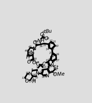 CCn1c(-c2cc(N3CCN4CCOC[C@@H]4C3)cnc2[C@H](C)OC)c2c3cc(ccc31)-c1cccc(c1)C[C@H](NC(=O)OC(C)(C)C)C(=O)N1CCC[C@H](N1)C(=O)OCC(C)(C)C2